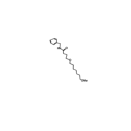 COCCCCCCCOCCCC(=O)NCc1ccccc1